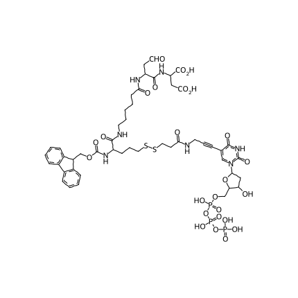 O=CCC(NC(=O)CCCCCNC(=O)C(CCCSSCCC(=O)NCC#Cc1cn(C2CC(O)C(COP(=O)(O)OP(=O)(O)OP(=O)(O)O)O2)c(=O)[nH]c1=O)NC(=O)OCC1c2ccccc2-c2ccccc21)C(=O)NC(CC(=O)O)C(=O)O